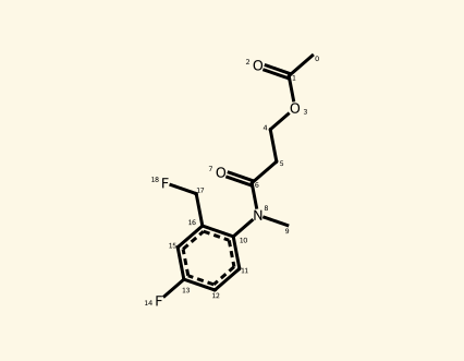 CC(=O)OCCC(=O)N(C)c1ccc(F)cc1CF